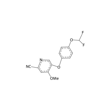 COc1cc(C#N)ncc1Oc1ccc(OC(F)F)cc1